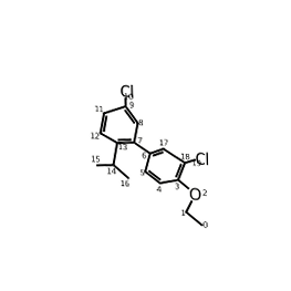 CCOc1ccc(-c2cc(Cl)ccc2C(C)C)cc1Cl